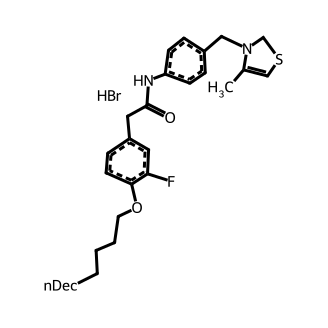 Br.CCCCCCCCCCCCCCOc1ccc(CC(=O)Nc2ccc(CN3CSC=C3C)cc2)cc1F